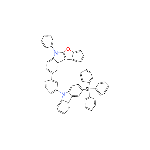 c1ccc(-n2c3ccc(-c4cccc(-n5c6ccccc6c6cc([Si](c7ccccc7)(c7ccccc7)c7ccccc7)ccc65)c4)cc3c3c4ccccc4oc32)cc1